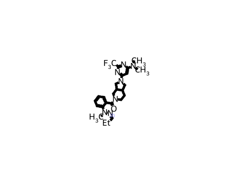 CC/C=N\N(C)c1ccccc1C(=O)N1CCC2CN(c3cc(N(C)C)nc(C(F)(F)F)n3)CC2C1